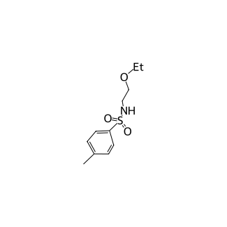 CCOCCNS(=O)(=O)c1ccc(C)cc1